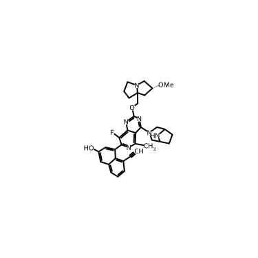 C#Cc1cccc2cc(O)cc(-c3nc(C)c4c(N5CC6CCC(C5)N6)nc(OCC56CCCN5C[C@H](OC)C6)nc4c3F)c12